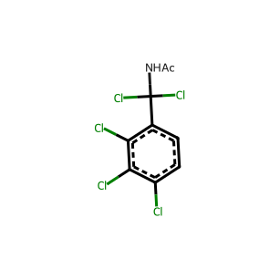 CC(=O)NC(Cl)(Cl)c1ccc(Cl)c(Cl)c1Cl